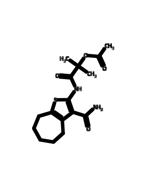 CC(=O)OC(C)(C)C(=O)Nc1sc2c(c1C(N)=O)CCCCC2